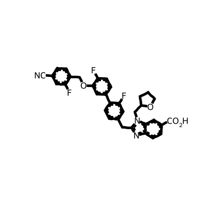 N#Cc1ccc(COc2cc(-c3ccc(Cc4nc5ccc(C(=O)O)cc5n4CC4CCCO4)cc3F)ccc2F)c(F)c1